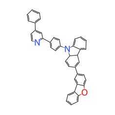 C1=CC2C(C=C1c1ccc3oc4ccccc4c3c1)c1ccccc1N2c1ccc(-c2cc(-c3ccccc3)ccn2)cc1